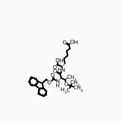 C[C@@H](OC(C)(C)C)[C@H](NC(=O)OCC1c2ccccc2-c2ccccc21)C(=O)N[C@@H](CCCCCC(=O)O)C(=O)O